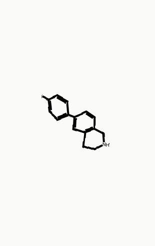 Ic1ccc(-c2ccc3c(c2)CCNC3)cc1